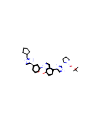 CC(C)(C)OC(=O)N1CCC[C@H]1c1ncc(-c2ccc3c4c2ccn4-c2cc(-c4cnc(C5CCCC5)[nH]4)ccc2O3)[nH]1